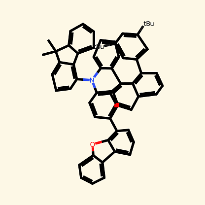 CC(C)(C)c1cc(-c2cccc3cccc(-c4ccccc4N(c4ccc(-c5cccc6c5oc5ccccc56)cc4)c4cccc5c4-c4ccccc4C5(C)C)c23)cc(C(C)(C)C)c1